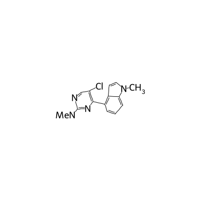 CNc1ncc(Cl)c(-c2cccc3c2ccn3C)n1